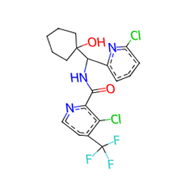 O=C(NC(c1cccc(Cl)n1)C1(O)CCCCC1)c1nccc(C(F)(F)F)c1Cl